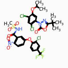 CC(C)Oc1cc(-n2nc(C(C)(C)C)oc2=O)c(Cl)cc1Cl.CS(=O)(=O)NC(=O)c1cc(Oc2ccc(C(F)(F)F)cc2Cl)ccc1[N+](=O)[O-]